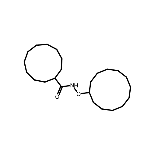 O=C(NOC1CCCCCCCCCCC1)C1CCCCCCCCCC1